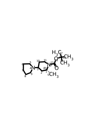 C[C@@H]1CC(N2CCCCC2)CCN1C(=O)OC(C)(C)C